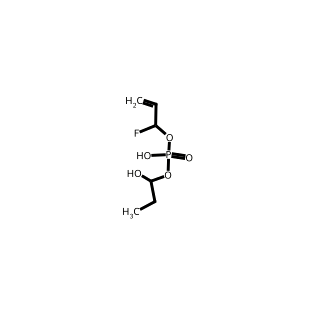 C=CC(F)OP(=O)(O)OC(O)CC